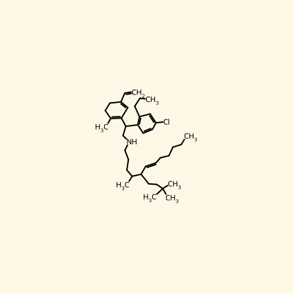 C=CC1=CC(C(CNCCCC(C)C(/C=C/CCCCC)CCC(C)(C)C)c2ccc(Cl)cc2CCC)=C(C)CC1